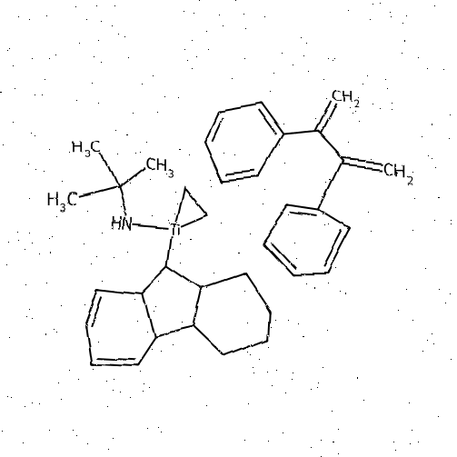 C=C(C(=C)c1ccccc1)c1ccccc1.CC(C)(C)[NH][Ti]1([CH]2C3C=CC=CC3C3CCCCC32)[CH2][CH2]1